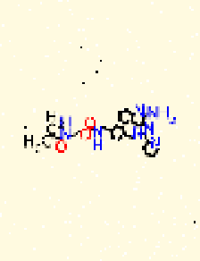 C=C(C)C(=O)NCCOC(=O)NCc1ccc(Cn2c(-c3ccccn3)nc3c(N)nc4ccccc4c32)cc1